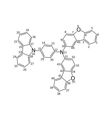 c1ccc2c(c1)oc1ccc(N(c3ccc(-n4c5ccccc5c5ccccc54)cc3)c3ccc4oc5ccccc5c4c3)cc12